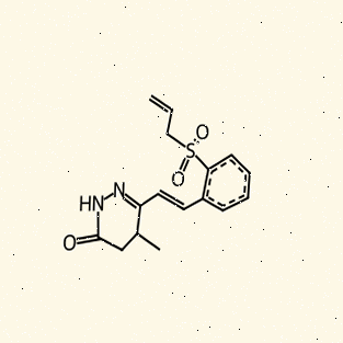 C=CCS(=O)(=O)c1ccccc1C=CC1=NNC(=O)CC1C